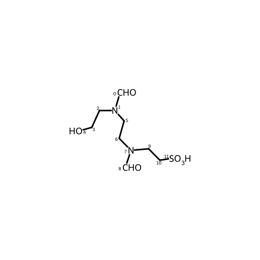 O=CN(CCO)CCN(C=O)CCS(=O)(=O)O